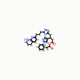 O=C(CC(Cc1nc(CCCc2ccc3c(n2)NCCC3)no1)c1cnn(-c2ccccc2)c1)OC(=O)C(F)(F)F